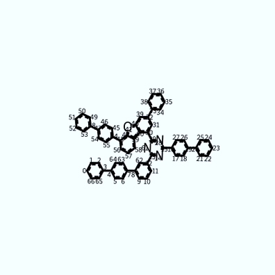 c1ccc(-c2ccc(-c3cccc(-c4nc(-c5ccc(-c6ccccc6)cc5)nc(-c5cc(-c6ccccc6)cc6oc7c(-c8ccc(-c9ccccc9)cc8)cccc7c56)n4)c3)cc2)cc1